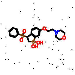 O=S(=O)(c1ccccc1)C1CS(O)(O)c2cc(OCCN3CCOCC3)ccc21